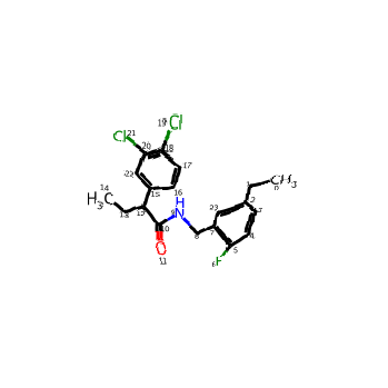 CCc1ccc(F)c(CNC(=O)C(CC)c2ccc(Cl)c(Cl)c2)c1